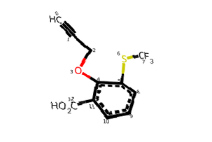 C#CCOc1c(SC(F)(F)F)cccc1C(=O)O